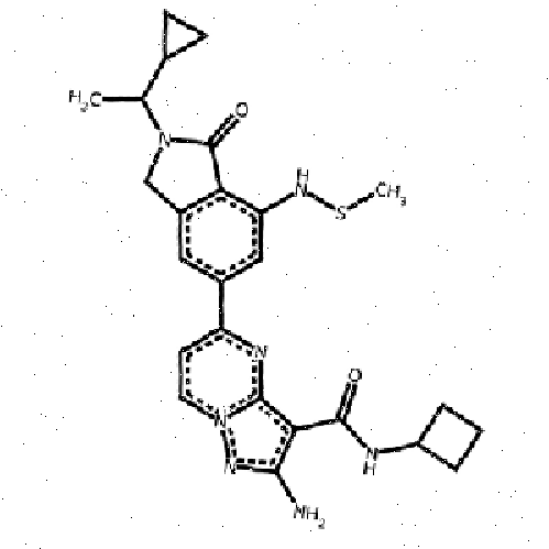 CSNc1cc(-c2ccn3nc(N)c(C(=O)NC4CCC4)c3n2)cc2c1C(=O)N(C(C)C1CC1)C2